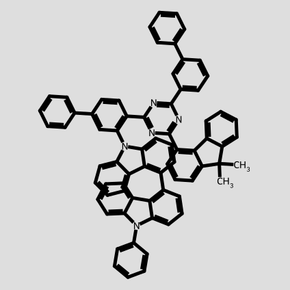 CC1(C)c2ccccc2-c2c(-c3nc(-c4cccc(-c5ccccc5)c4)nc(-c4ccc(-c5ccccc5)cc4-n4c5ccccc5c5c(-c6cccc7c6c6ccccc6n7-c6ccccc6)cccc54)n3)cccc21